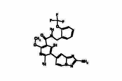 [2H]c1nc(OC)c(C(=O)N([2H])Cc2ccccc2OC(F)(F)F)c([2H])c1-c1ccn2nc(N)nc2c1